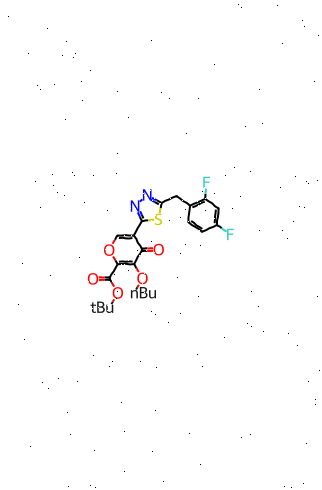 CCCCOc1c(C(=O)OC(C)(C)C)occ(-c2nnc(Cc3ccc(F)cc3F)s2)c1=O